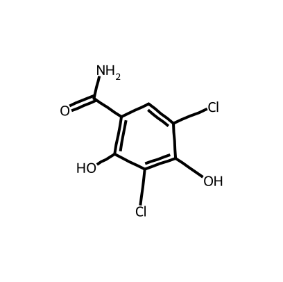 NC(=O)c1cc(Cl)c(O)c(Cl)c1O